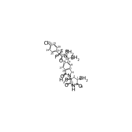 BC1C[C@@](B)(N2Cc3cc(C(B)N(B)C(=O)C(F)(F)c4ccc(Cl)cc4)ccc3C2=O)C(=O)NC1=O